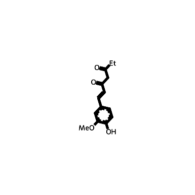 CCC(=O)CC(=O)C=Cc1ccc(O)c(OC)c1